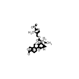 CC(C)[C@]12C[C@H]1[C@@H]1O[C@@]13[C@@]1(C)CCC4=C(COC4=O)C1CO[C@]3(C)[C@@H]2OC(=O)OCc1cnc([N+](=O)[O-])n1C